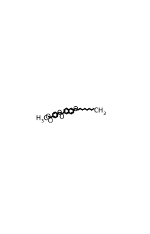 CCCCCCCCCOc1ccc2cc(C(=O)Oc3ccc(C(=O)OC)cc3)ccc2c1